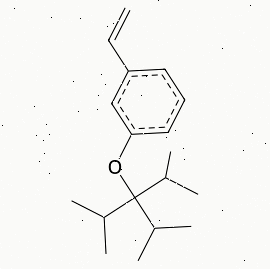 C=Cc1cccc(OC(C(C)C)(C(C)C)C(C)C)c1